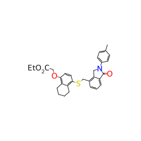 CCOC(=O)COc1ccc(SCc2cccc3c2CN(c2ccc(C)cc2)C3=O)c2c1CCCC2